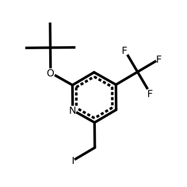 CC(C)(C)Oc1cc(C(F)(F)F)cc(CI)n1